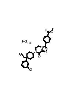 COC(=O)c1ccc(-c2nnc3n2CCN([C@H]2CC[C@@](CN)(c4cccc(Cl)c4)CC2)C3=O)cc1.Cl.Cl